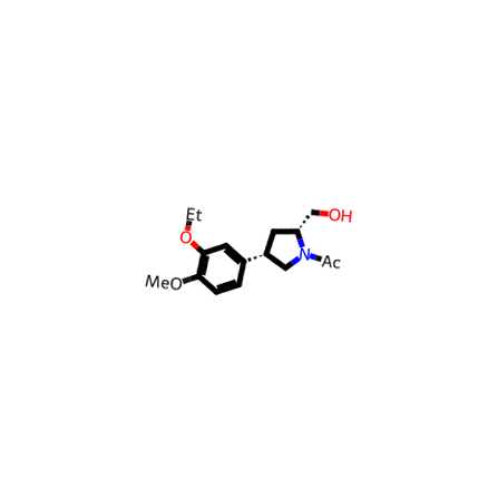 CCOc1cc([C@@H]2C[C@H](CO)N(C(C)=O)C2)ccc1OC